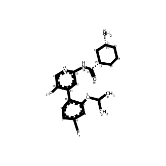 CC(C)Oc1cc(F)ccc1-c1cc(NC(=O)[C@H]2CCC[C@@H](N)C2)ncc1F